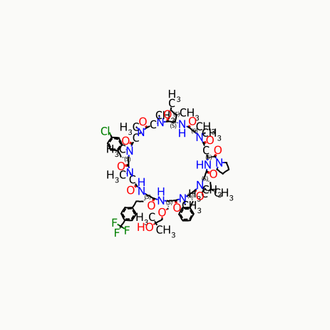 CC[C@H](C)[C@@H]1NC(=O)[C@H](C)N(C)C(=O)C[C@@H](C(=O)N2CCCC2)NC(=O)[C@H](CC(C)C)N(C)C(=O)[C@H](Cc2ccccc2)N(C)C(=O)[C@H](COCC(C)(C)O)NC(=O)[C@H](CCc2ccc(C(F)(F)F)cc2)NC(=O)CN(C)C(=O)[C@H](Cc2ccc(Cl)cc2)N(C)C(=O)CN(C)C(=O)CN(C)C1=O